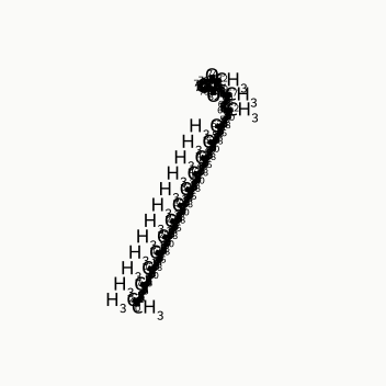 CC(C)=CCC/C(C)=C/CC/C(C)=C/CC/C(C)=C/CC/C(C)=C/CC/C(C)=C/CC/C(C)=C/CC/C(C)=C/CC/C(C)=C/CC/C(C)=C/CC/C(C)=C/CC/C(C)=C/CC/C(C)=C/CC/C(C)=C/CC1=C(C)C(=O)c2ccccc2C1=O